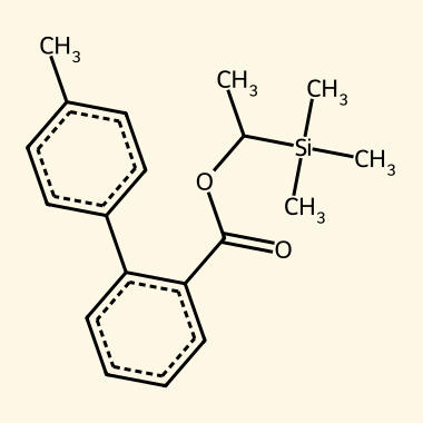 Cc1ccc(-c2ccccc2C(=O)OC(C)[Si](C)(C)C)cc1